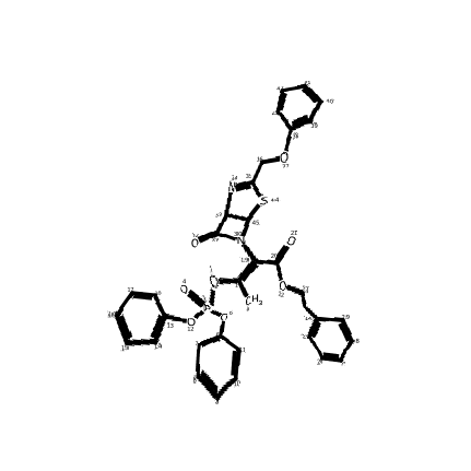 CC(OP(=O)(Oc1ccccc1)Oc1ccccc1)=C(C(=O)OCc1ccccc1)N1C(=O)C2N=C(COc3ccccc3)SC21